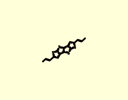 C/C=C/c1cc2c(s1)sc1c3cc(/C=C/C)sc3sc21